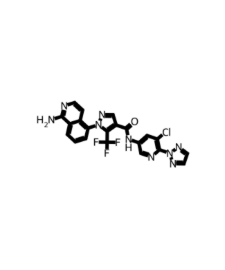 Nc1nccc2c(-n3ncc(C(=O)Nc4cnc(-n5nccn5)c(Cl)c4)c3C(F)(F)F)cccc12